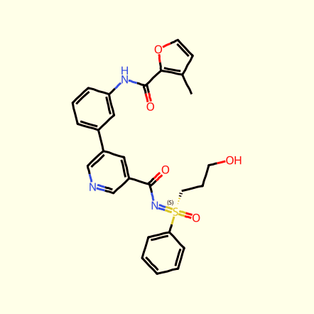 Cc1ccoc1C(=O)Nc1cccc(-c2cncc(C(=O)N=[S@](=O)(CCCO)c3ccccc3)c2)c1